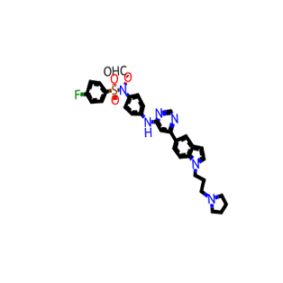 O=CON(c1ccc(Nc2cc(-c3ccc4c(ccn4CCCN4CCCC4)c3)ncn2)cc1)S(=O)(=O)c1ccc(F)cc1